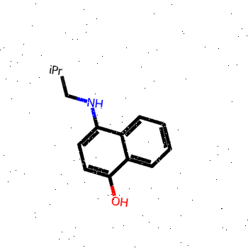 CC(C)CNc1ccc(O)c2ccccc12